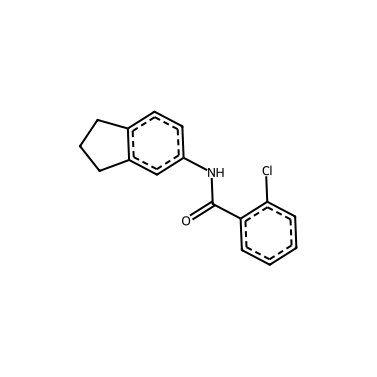 O=C(Nc1ccc2c(c1)CCC2)c1ccccc1Cl